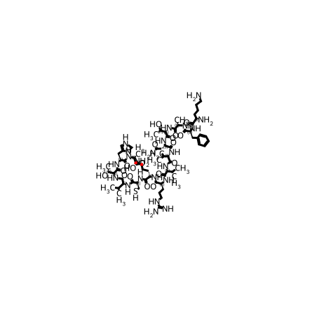 CC(C)[C@H](NC(=O)[C@H](CC(N)=O)NC(=O)[C@@H](NC(=O)[C@H](C)NC(=O)[C@H](Cc1ccccc1)NC(=O)[C@@H](N)CCCCN)[C@@H](C)O)C(=O)N[C@H](C(=O)N[C@@H](CCCNC(=N)N)C(=O)N[C@@H](CCCCN)C(=O)N[C@@H](CS)C(=O)N[C@H](C(=O)N[C@H](C(=O)N[C@@H](Cc1c[nH]cn1)C(=O)N[C@@H](C)C(=O)O)[C@@H](C)O)C(C)C)C(C)C